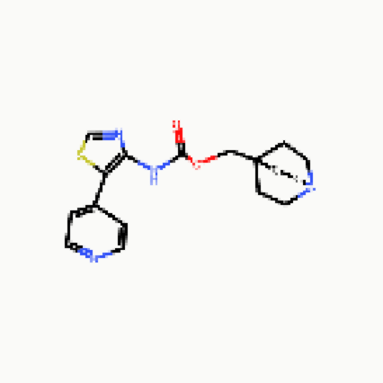 O=C(Nc1ncsc1-c1ccncc1)OCC12CCN(CC1)CC2